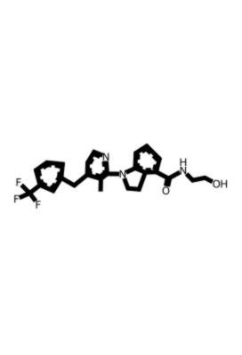 Cc1c(Cc2cccc(C(F)(F)F)c2)ccnc1N1CCc2c(C(=O)NCCO)cccc21